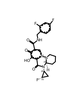 O=C(NCc1ccc(F)cc1F)c1cn2c(c(O)c1=O)C(=O)N([C@@H]1C[C@@H]1F)[C@@H]1CCCCN12